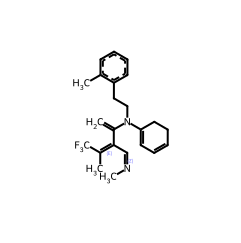 C=C(C(/C=N\C)=C(/C)C(F)(F)F)N(CCc1ccccc1C)C1=CC=CCC1